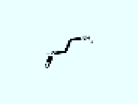 NCC[PH]=O